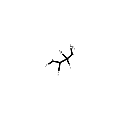 F[CH]C(F)C(F)(F)CC(F)(F)F